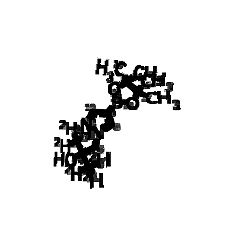 [2H]C([2H])([2H])C(O)(Cn1cc(B2OC(C)(C)C(C)(C)O2)cn1)C([2H])([2H])[2H]